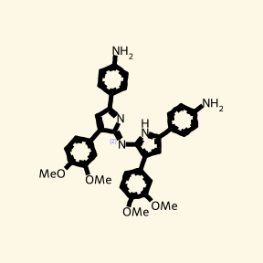 COc1ccc(C2=CC(c3ccc(N)cc3)=N/C2=N\c2[nH]c(-c3ccc(N)cc3)cc2-c2ccc(OC)c(OC)c2)cc1OC